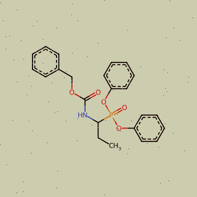 CCC(NC(=O)OCc1ccccc1)P(=O)(Oc1ccccc1)Oc1ccccc1